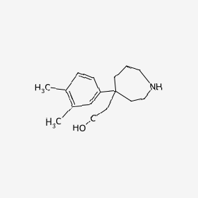 Cc1ccc(C2(CCO)CCCNCC2)cc1C